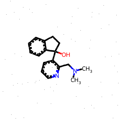 CN(C)Cc1ncccc1C1(O)CCc2ccccc21